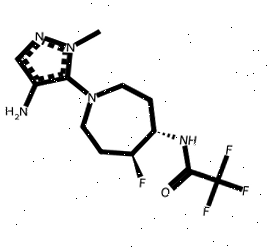 Cn1ncc(N)c1N1CC[C@H](NC(=O)C(F)(F)F)[C@@H](F)CC1